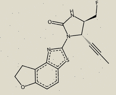 CC#C[C@H]1[C@H](CF)NC(=O)N1c1nc2c3c(ccc2s1)OCC3